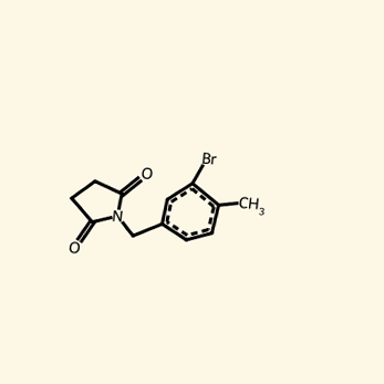 Cc1ccc(CN2C(=O)CCC2=O)cc1Br